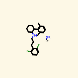 CCN.Cc1cccc(C)c1C1CCCCC1NCCCc1c(F)cccc1F